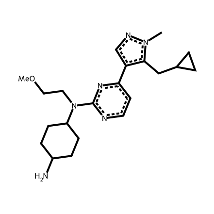 COCCN(c1nccc(-c2cnn(C)c2CC2CC2)n1)C1CCC(N)CC1